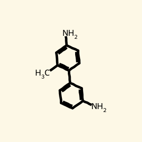 Cc1cc(N)ccc1-c1cccc(N)c1